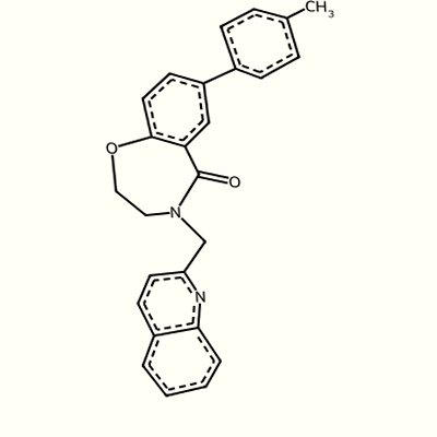 Cc1ccc(-c2ccc3c(c2)C(=O)N(Cc2ccc4ccccc4n2)CCO3)cc1